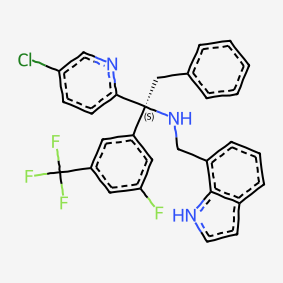 Fc1cc(C(F)(F)F)cc([C@](Cc2ccccc2)(NCc2cccc3cc[nH]c23)c2ccc(Cl)cn2)c1